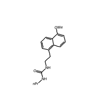 CCCNC(=O)NCCc1cccc2c(OC)cccc12